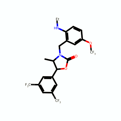 CCNc1ccc(OC(F)(F)F)cc1CN1C(=O)OC(c2cc(C(F)(F)F)cc(C(F)(F)F)c2)C1C